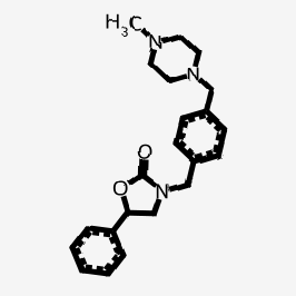 CN1CCN(Cc2ccc(CN3CC(c4ccccc4)OC3=O)cc2)CC1